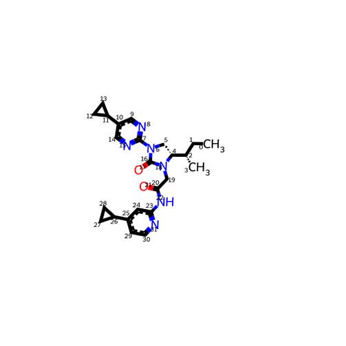 CC[C@H](C)[C@H]1CN(c2ncc(C3CC3)cn2)C(=O)N1CC(=O)Nc1cc(C2CC2)ccn1